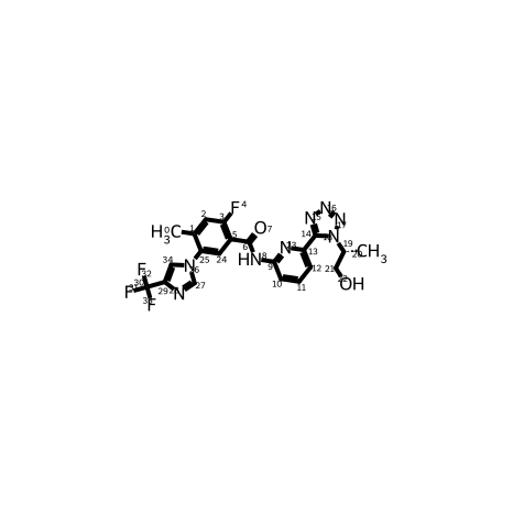 Cc1cc(F)c(C(=O)Nc2cccc(-c3nnnn3[C@H](C)CO)n2)cc1-n1cnc(C(F)(F)F)c1